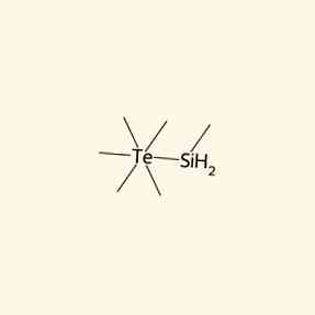 C[SiH2][Te](C)(C)(C)(C)C